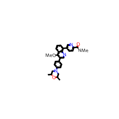 CNC(=O)c1ccc(-c2cccc3c(OC)c(-c4ccc(N5CC(C)OC(C)C5)cc4)cnc23)cn1